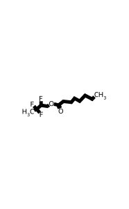 CCCCCCCC(=O)OCC(F)C(C)(F)F